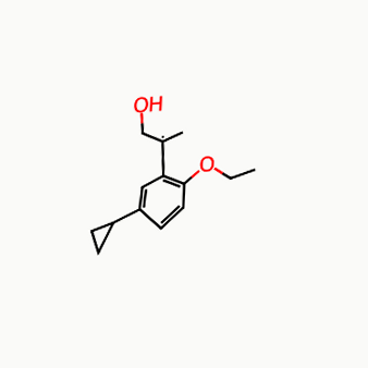 CCOc1ccc(C2CC2)cc1[C](C)CO